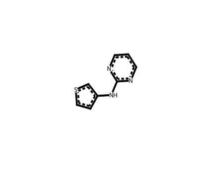 c1cnc(Nc2ccsc2)nc1